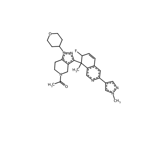 CC(=O)N1CCc2c(c(C3(C)c4cnc(-c5cnn(C)c5)cc4C=CC3F)nn2C2CCOCC2)C1